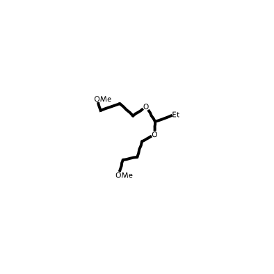 CCC(OCCCOC)OCCCOC